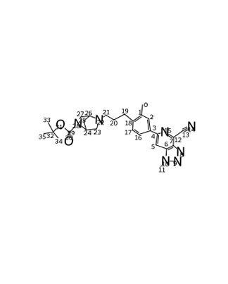 Cc1cc(-c2cc3c(nnn3C)c(C#N)n2)ccc1CCCN1CC2CC1CN2C(=O)OC(C)(C)C